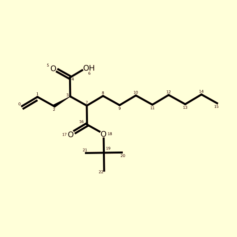 C=CC[C@@H](C(=O)O)C(CCCCCCCC)C(=O)OC(C)(C)C